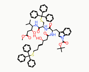 COC(=O)C[C@H](O)[C@H](NC(=O)[C@@H](CSC(c1ccccc1)(c1ccccc1)c1ccccc1)NC(=O)[C@@H](Cc1cn(C(=O)OC(C)(C)C)c2ccccc12)NC(=O)C[C@H](O)/C=C/CCSC(c1ccccc1)(c1ccccc1)c1ccccc1)C(C)C